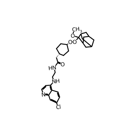 COC1(OO[C@H]2CC[C@@H](CC(=O)NCCNc3ccnc4cc(Cl)ccc34)CC2)C2CC3CC(C2)CC1C3